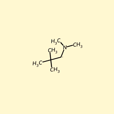 CN(C)[CH]C(C)(C)C